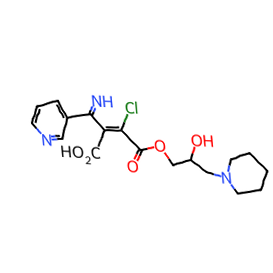 N=C(/C(C(=O)O)=C(\Cl)C(=O)OCC(O)CN1CCCCC1)c1cccnc1